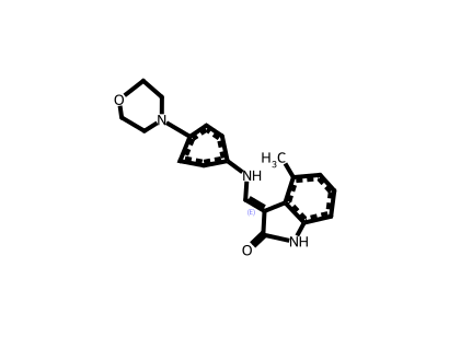 Cc1cccc2c1/C(=C\Nc1ccc(N3CCOCC3)cc1)C(=O)N2